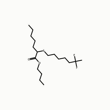 CCCCCC(SCCCCCC(C)(F)F)C(=O)OCCCC